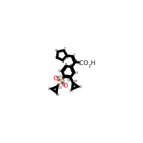 O=C(O)/C(=C/C1CCCC1)c1ccc(S(=O)(=O)C2CC2)c(C2CC2)c1